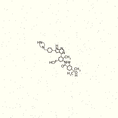 Cc1c(NC(=O)c2ccc(C(C)(C)O)cc2F)cc(F)cc1-c1ncnc2[nH]c(-c3ccc(CN4CCNCC4)cc3)cc12.Cl